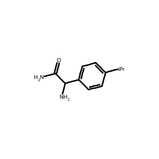 CC(C)c1ccc(C(N)C(N)=O)cc1